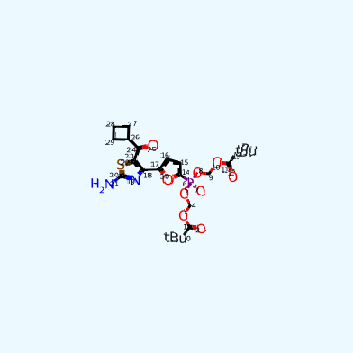 CC(C)(C)C(=O)OCOP(=O)(OCOC(=O)C(C)(C)C)c1ccc(-c2nc(N)sc2C(=O)C2CCC2)o1